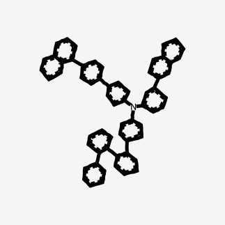 c1ccc(-c2ccccc2-c2ccccc2-c2ccc(N(c3ccc(-c4ccc(-c5cccc6ccccc56)cc4)cc3)c3cccc(-c4ccc5ccccc5c4)c3)cc2)cc1